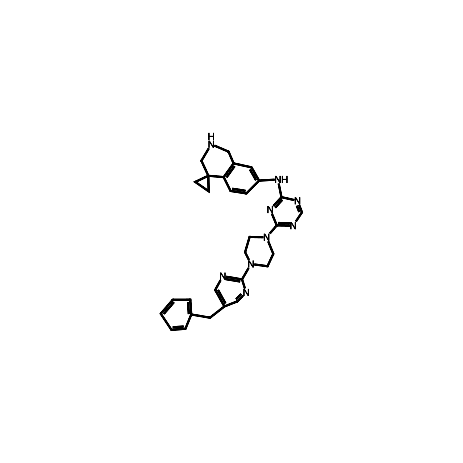 c1ccc(Cc2cnc(N3CCN(c4ncnc(Nc5ccc6c(c5)CNCC65CC5)n4)CC3)nc2)cc1